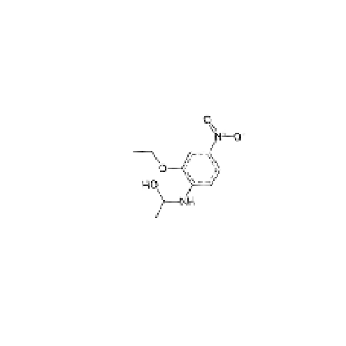 CCOc1cc([N+](=O)[O-])ccc1NC(C)O